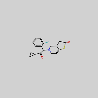 O=C1CC2CN(C(C(=O)C3CC3)c3ccccc3F)CC=C2S1